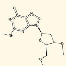 CNc1nc2c(ncn2[C@H]2CC(OI)[C@@H](COC)O2)c(=O)[nH]1